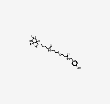 O=C(CCCC[C@@H]1SC[C@@H]2NC(=O)N[C@@H]21)NCCSSCCC(=O)NCc1ccc(O)cc1